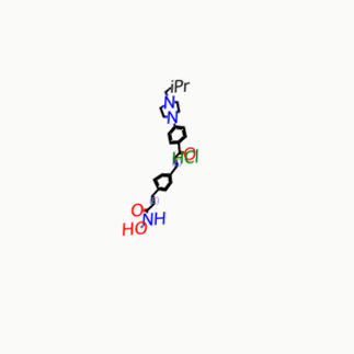 CC(C)CN1CCN(c2ccc(C(=O)/C=C/c3ccc(/C=C/C(=O)NO)cc3)cc2)CC1.Cl